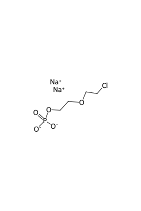 O=P([O-])([O-])OCCOCCCl.[Na+].[Na+]